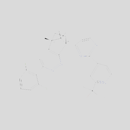 CC(C)(O)c1cc(-c2nccc([C@]34CC[C@@H](c5cc(-c6c(F)cccc6F)nnc53)C4(C)C)n2)ccn1